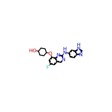 OC1CCC(Oc2cc(F)cc3cnc(Nc4ccc5nc[nH]c5c4)nc23)CC1